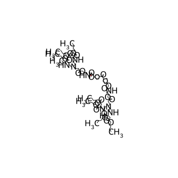 CCCCOC(=O)CC(NCCN(CCNC(CC)C(=O)OCCCC)CCC(=O)OCCNC(=O)Oc1ccc(C(=O)c2ccc(OC(=O)NCCOC(=O)CCN(CCNC(CC(=O)OCCCC)C(=O)OCCCC)CCNC(CC(=O)OCCCC)C(=O)OCCCC)cc2)cc1)C(=O)OCCCC